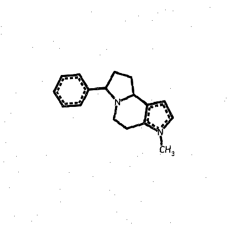 Cn1ccc2c1CCN1C(c3ccccc3)CCC21